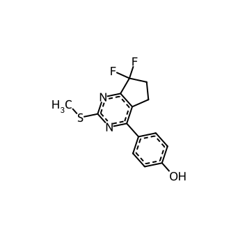 CSc1nc(-c2ccc(O)cc2)c2c(n1)C(F)(F)CC2